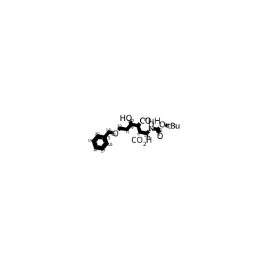 CC(C)(C)OC(=O)N[C@@H](CC(C(=O)O)C(O)CCOCc1ccccc1)C(=O)O